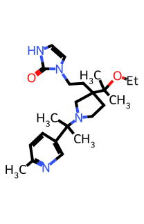 CCOC(C)(C)C1(CCn2cc[nH]c2=O)CCN(C(C)(C)c2ccc(C)nc2)C1